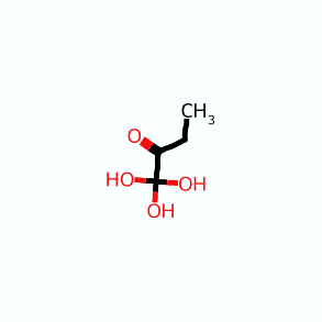 CCC(=O)C(O)(O)O